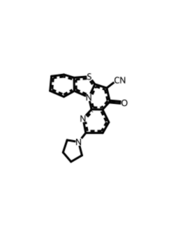 N#Cc1c(=O)c2ccc(N3CCCC3)nc2n2c1sc1ccccc12